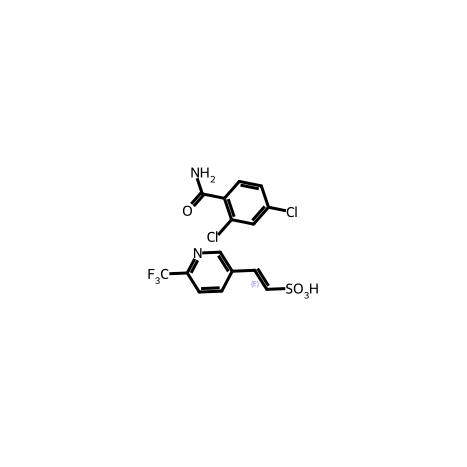 NC(=O)c1ccc(Cl)cc1Cl.O=S(=O)(O)/C=C/c1ccc(C(F)(F)F)nc1